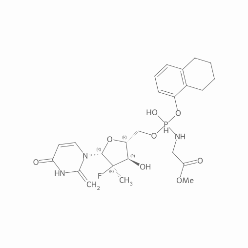 C=C1NC(=O)C=CN1[C@@H]1O[C@H](CO[PH](O)(NCC(=O)OC)Oc2cccc3c2CCCC3)[C@@H](O)[C@@]1(C)F